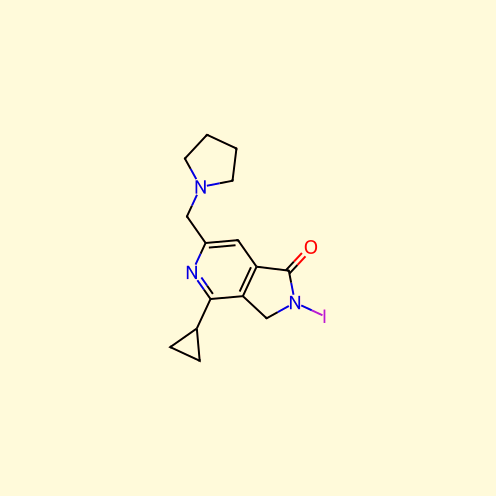 O=C1c2cc(CN3CCCC3)nc(C3CC3)c2CN1I